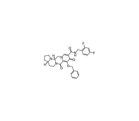 O=C(NCc1ccc(F)cc1F)c1cn2c(c(OCc3ccccc3)c1=O)C(=O)N1CC[C@@H]3CCCN3[C@@H]1C2